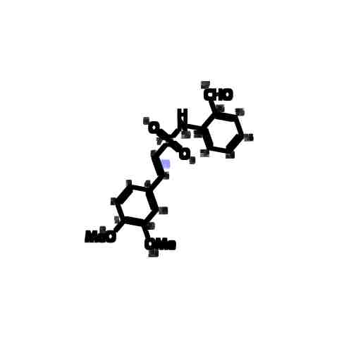 COc1ccc(/C=C/S(=O)(=O)Nc2ccccc2C=O)cc1OC